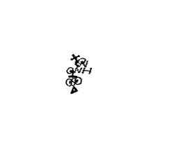 CC(C)(C)c1cc(NC(=O)C(C)(C)S(=O)(=O)C2CC2)no1